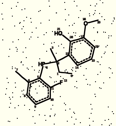 CCC(C)(Pc1c(C)cccc1F)c1cccc(OC)c1O